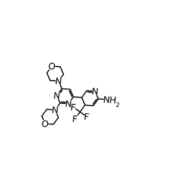 NC1=CC(C(F)(F)F)C(c2cc(N3CCOCC3)nc(N3CCOCC3)n2)C=N1